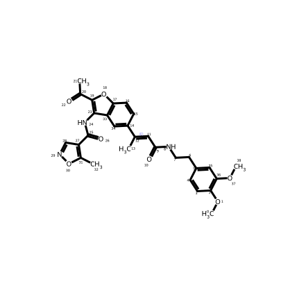 COc1ccc(CCNC(=O)/C=C(\C)c2ccc3oc(C(C)=O)c(NC(=O)c4cnoc4C)c3c2)cc1OC